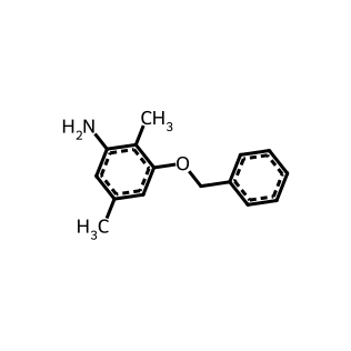 Cc1cc(N)c(C)c(OCc2ccccc2)c1